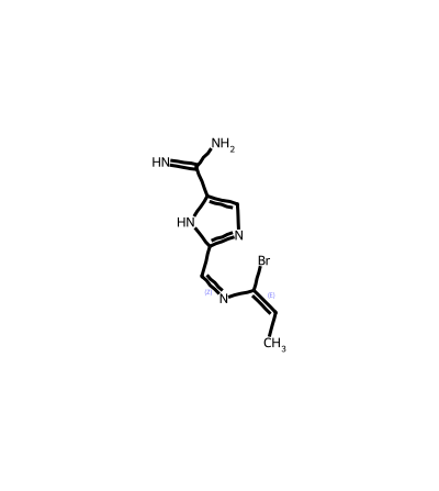 C/C=C(Br)\N=C/c1ncc(C(=N)N)[nH]1